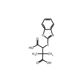 CC(C)(C(=O)O)C(Sc1nc2ccccc2o1)C(=O)O